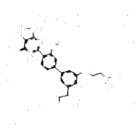 CCOc1cc(-c2cc(CCC(=O)O)cc(OCCN(C)C)c2)ccc1-c1nc2c(c(=O)[nH]1)NNN2